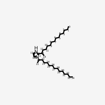 CCCCCCCCCCCCCC(C)c1[nH]cc[n+]1C(C)CCCCCCCCCCCCC